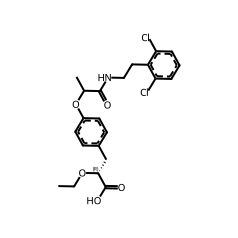 CCO[C@H](Cc1ccc(OC(C)C(=O)NCCc2c(Cl)cccc2Cl)cc1)C(=O)O